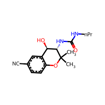 CCCNC(=O)N[C@H]1[C@H](O)c2cc(C#N)ccc2OC1(C)C